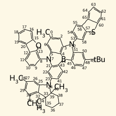 Cc1cc2c3c(c1)N(c1cccc4c1oc1ccccc14)c1cc(N4c5cc(C)cc(C)c5C5(C)CCCCC45C)ccc1B3c1ccc(C(C)(C)C)cc1N2c1ccc2c(c1)sc1ccccc12